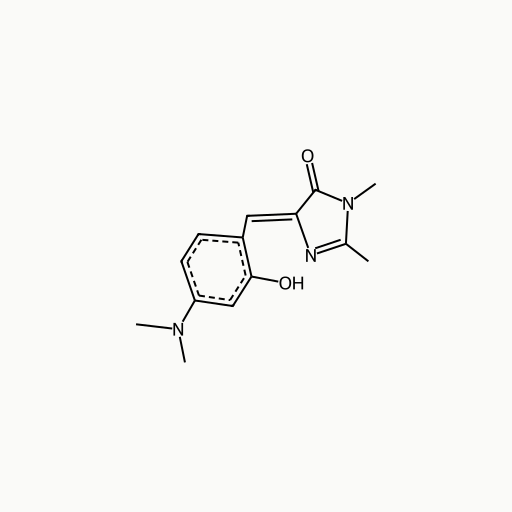 CC1=NC(=Cc2ccc(N(C)C)cc2O)C(=O)N1C